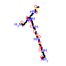 CC(=O)SCC(=O)NCCCC[C@@H](NC(=O)CCCC(=O)NCCOCCOCC(=O)NCCOCCOCC(=O)NCCCC[C@H](C)C(N)=O)C(=O)NCCCC[C@@H](C)C(N)=O